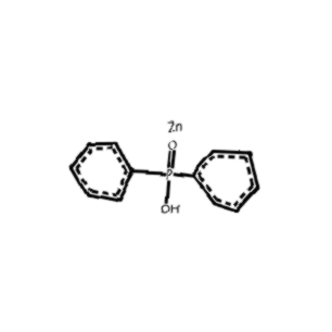 O=P(O)(c1ccccc1)c1ccccc1.[Zn]